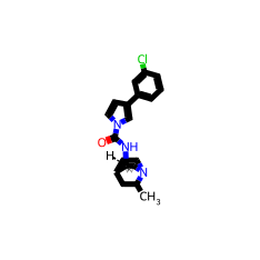 CC1CC2CCN1C[C@@H]2NC(=O)n1ccc(-c2cccc(Cl)c2)c1